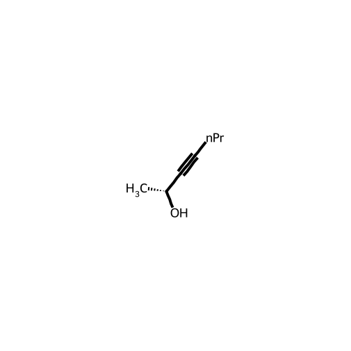 CCCC#C[C@@H](C)O